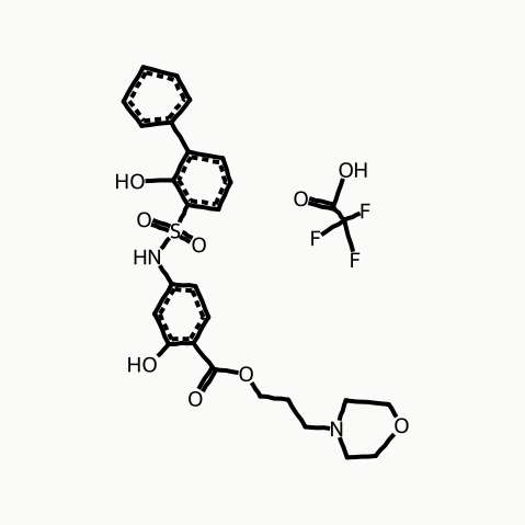 O=C(O)C(F)(F)F.O=C(OCCCN1CCOCC1)c1ccc(NS(=O)(=O)c2cccc(-c3ccccc3)c2O)cc1O